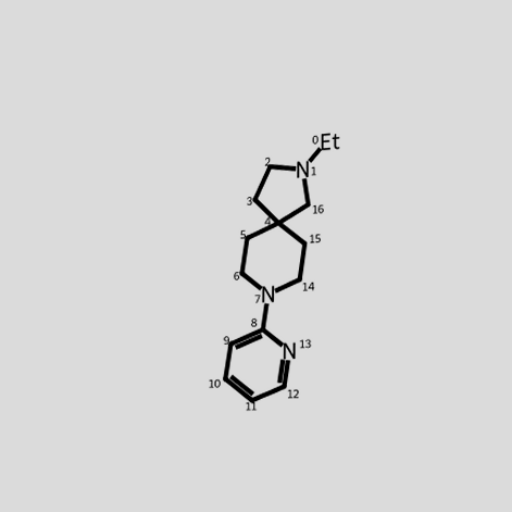 CCN1CCC2(CCN(c3ccccn3)CC2)C1